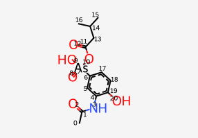 CC(=O)Nc1cc([As](=O)(O)OC(=O)CC(C)C)ccc1O